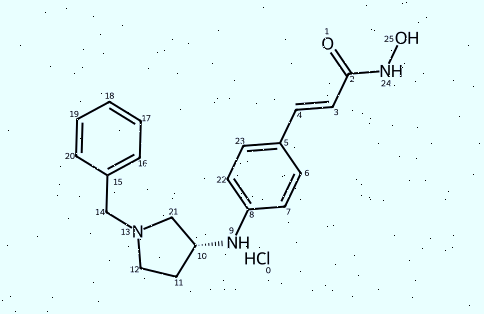 Cl.O=C(C=Cc1ccc(N[C@@H]2CCN(Cc3ccccc3)C2)cc1)NO